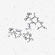 Cc1cc(OC(F)F)cc(/C=C/C[C@@H]2OC(C)(C)O[C@@H]2C(C)/C=C\[C@@H](C)[C@H](C)O)c1C(=O)O